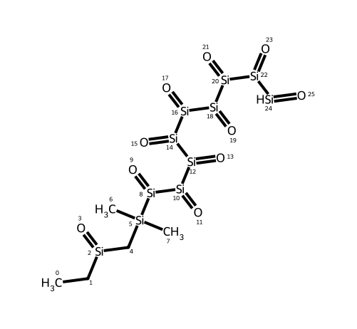 CC[Si](=O)C[Si](C)(C)[Si](=O)[Si](=O)[Si](=O)[Si](=O)[Si](=O)[Si](=O)[Si](=O)[Si](=O)[SiH]=O